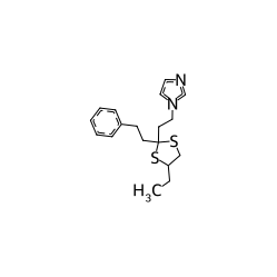 CCC1CSC(CCc2ccccc2)(CCn2ccnc2)S1